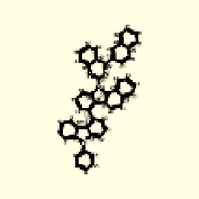 c1ccc(-n2c3ccccc3c3c(-c4cccc5c4c4ccc6ccccc6c4n5-c4nc(-c5ccc6ccccc6c5)c5ccccc5n4)cccc32)cc1